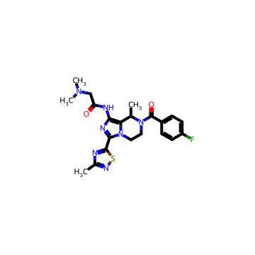 Cc1nsc(-c2nc(NC(=O)CN(C)C)c3n2CCN(C(=O)c2ccc(F)cc2)C3C)n1